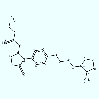 CCCC(=N)CC1CCC(=O)N1c1ccc(OCCCN2CCCC2C)cc1